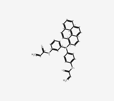 C=CC(=O)Oc1ccc(N(c2cccc(OC(=O)C=C)c2)c2ccc3ccc4cccc5ccc2c3c45)cc1